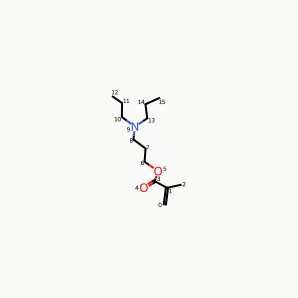 C=C(C)C(=O)OCCCN(CCC)CCC